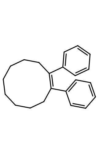 c1ccc(C2=C(c3ccccc3)CCCCCCCC2)cc1